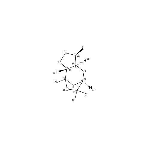 C[C@@H]1CC[C@@H]2[C@@H]1C[C@@H]1CC2(C)OC1(C)C